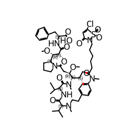 CC[C@H](C)[C@@H]([C@@H](CC(=O)N1CCC[C@H]1[C@H](OC)[C@@H](C)C(=O)N[C@@H](Cc1ccccc1)C(=O)O)OC)N(C)C(=O)[C@@H](NC(=O)[C@H](C(C)C)N(C)CCc1ccc(N(C)C(=O)CCCCCN2C(=O)C=C(Cl)S2(=O)=O)cc1)C(C)C